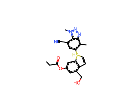 CCC(=O)Oc1cc(CO)c2c(c1)[SH](c1cc(C#N)c3c(nnn3C)c1C)C=C2